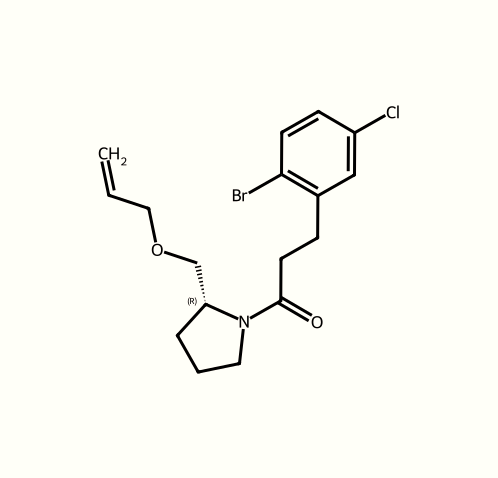 C=CCOC[C@H]1CCCN1C(=O)CCc1cc(Cl)ccc1Br